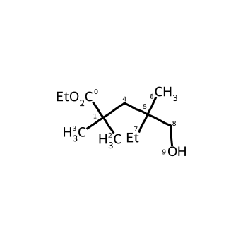 CCOC(=O)C(C)(C)CC(C)(CC)CO